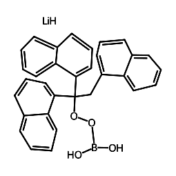 OB(O)OOC(Cc1cccc2ccccc12)(c1cccc2ccccc12)c1cccc2ccccc12.[LiH]